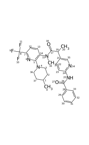 CC1CCN(c2nc(C(F)(F)F)ccc2N(C)C(=O)C(C)c2ccc(NC(=O)c3ccccc3)nc2)CC1